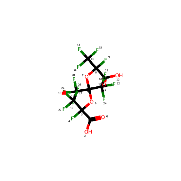 O=C(O)C(F)(OC(OC(F)(C(=O)O)C(F)(F)F)(C(F)(F)F)C(F)(F)F)C(F)(F)F